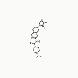 Cc1ncc(-c2ccc3cnc(NC(=O)C4CCN(C(C)C)CC4)cc3c2)n1C